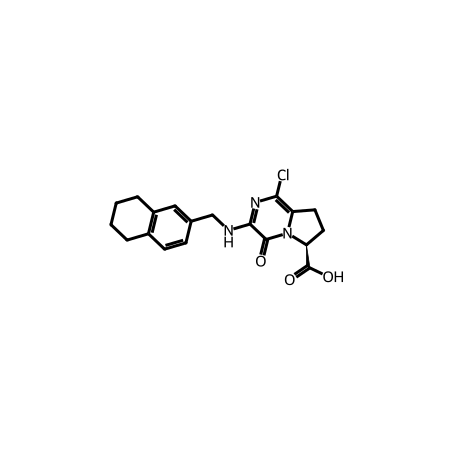 O=C(O)[C@@H]1CCc2c(Cl)nc(NCc3ccc4c(c3)CCCC4)c(=O)n21